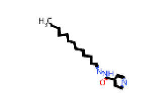 CCCCCCCCCCCCC=NNC(=O)c1ccncc1